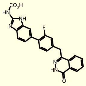 O=C(O)Nc1nc2ccc(-c3ccc(Cc4n[nH]c(=O)c5ccccc45)cc3F)cc2[nH]1